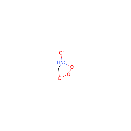 [O-][NH+]1COOO1